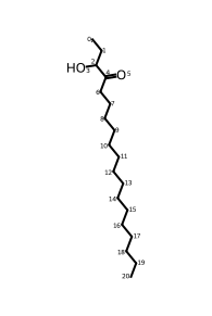 [CH2]CC(O)C(=O)CCCCCCCCCCCCCCC